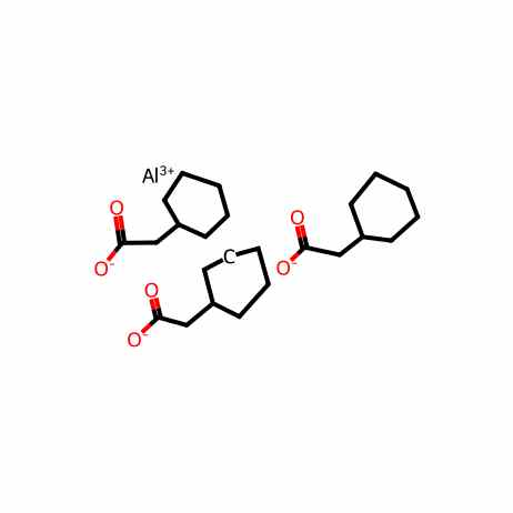 O=C([O-])CC1CCCCC1.O=C([O-])CC1CCCCC1.O=C([O-])CC1CCCCC1.[Al+3]